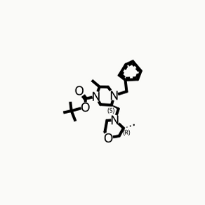 CC1CN(Cc2ccccc2)[C@@H](CN2CCOC[C@H]2C)CN1C(=O)OC(C)(C)C